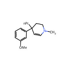 CCCC1(c2cccc(OC)c2)C=CN(C)CC1